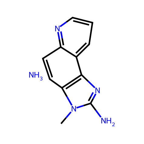 Cn1c(N)nc2c3cccnc3ccc21.N